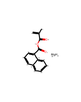 C=C(C)C(=O)OC(=O)c1cccc2ccccc12.[MgH2]